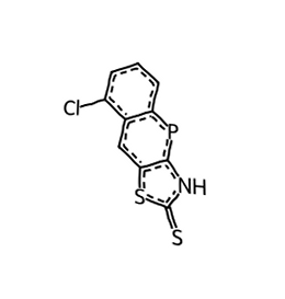 S=c1[nH]c2pc3cccc(Cl)c3cc2s1